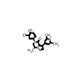 Cc1cc(-c2cnn3c2C(=O)N(c2ccc(C(F)(F)F)c(Cl)c2)C[C@@H]3C)cc(C)n1